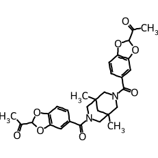 CC(=O)C1Oc2ccc(C(=O)N3CC4(C)CN(C(=O)c5ccc6c(c5)OC(C(C)=O)O6)CC(C)(C3)C4)cc2O1